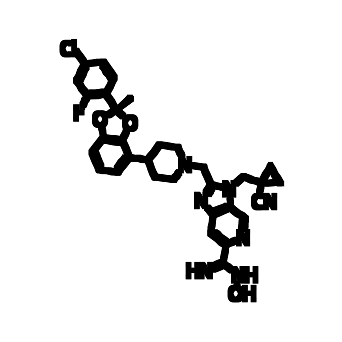 C[C@]1(c2ccc(Cl)cc2F)Oc2cccc(C3CCN(Cc4nc5cc(C(=N)NO)ncc5n4CC4(C#N)CC4)CC3)c2O1